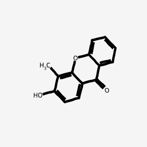 Cc1c(O)ccc2c(=O)c3ccccc3oc12